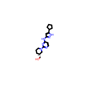 OC[C@@H]1CCCN(c2nccc(Nc3cc(C4CCCC4)[nH]n3)n2)C1